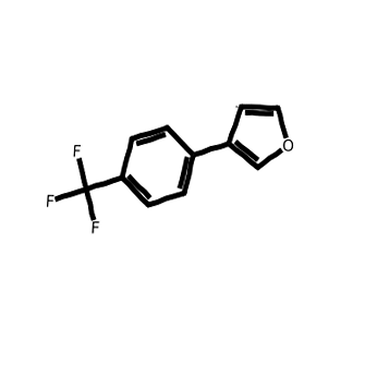 FC(F)(F)c1ccc(-c2[c]coc2)cc1